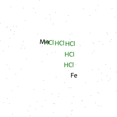 Cl.Cl.Cl.Cl.Cl.[Fe].[Mn]